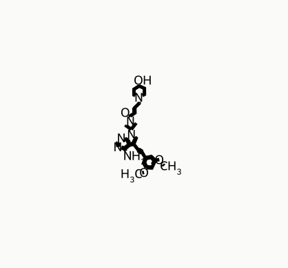 COc1cc(C#Cc2cn(C3CN(C(=O)C=CCN4CCC(O)CC4)C3)c3ncnc(N)c23)cc(OC)c1